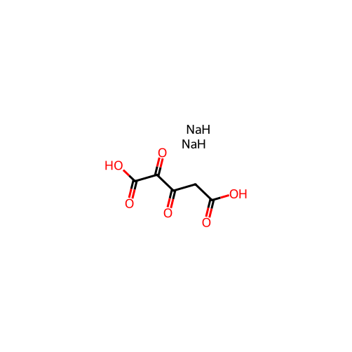 O=C(O)CC(=O)C(=O)C(=O)O.[NaH].[NaH]